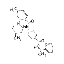 Cc1ccc(C(=O)Nc2ccc(C(=O)NC(C)c3ccccn3)cc2)c(N2CCC(C)CC2)c1